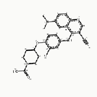 CN(C)c1ccc2ncc(C#N)c(Nc3ccc(OC4CCN(C(=O)O)CC4)c(Cl)c3)c2c1